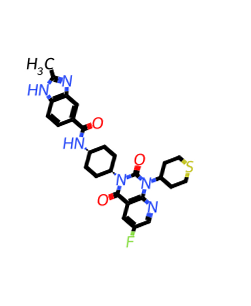 Cc1nc2cc(C(=O)N[C@H]3CC[C@@H](n4c(=O)c5cc(F)cnc5n(C5CCSCC5)c4=O)CC3)ccc2[nH]1